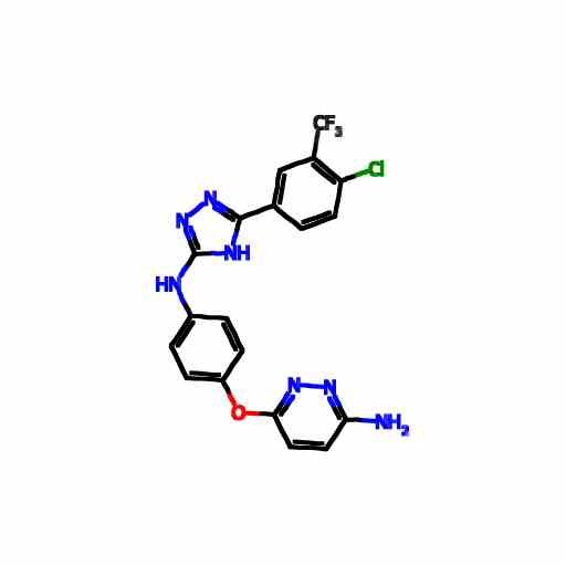 Nc1ccc(Oc2ccc(Nc3nnc(-c4ccc(Cl)c(C(F)(F)F)c4)[nH]3)cc2)nn1